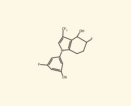 N#Cc1cc(F)cc(-n2cc(C(F)(F)F)c3c2CCC(F)C3O)c1